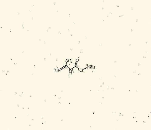 CCCCOC(=O)NC(=N)N